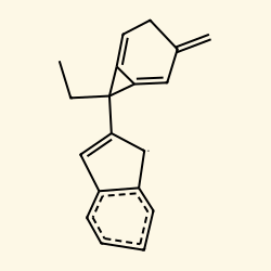 C=C1C=C2C(=CC1)C2(CC)C1=Cc2ccccc2[CH]1